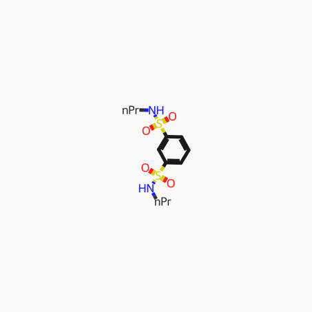 CCCNS(=O)(=O)c1cccc(S(=O)(=O)NCCC)c1